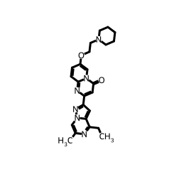 CCc1nc(C)cn2nc(-c3cc(=O)n4cc(OCCN5CCCCC5)ccc4n3)cc12